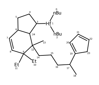 CCC[CH2][Hf]([CH2]CCC)[CH]1CCC2C=CC(CC)(CC)C(C)(CCCC(C)C3=CC=CC3)C21